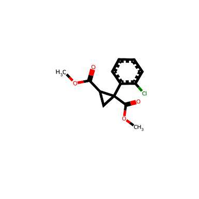 COC(=O)C1CC1(C(=O)OC)c1ccccc1Cl